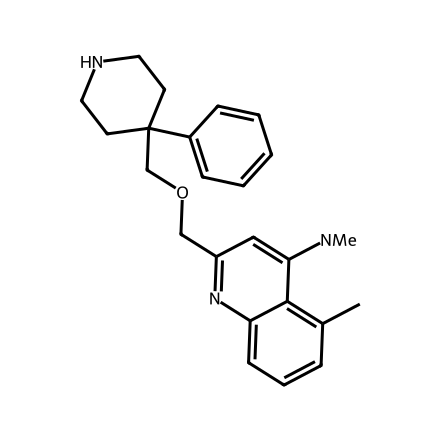 CNc1cc(COCC2(c3ccccc3)CCNCC2)nc2cccc(C)c12